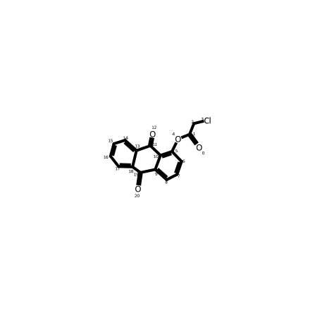 O=C(CCl)Oc1cccc2c1C(=O)c1ccccc1C2=O